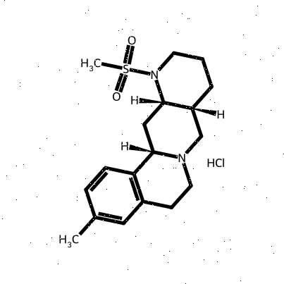 Cc1ccc2c(c1)CCN1C[C@H]3CCCN(S(C)(=O)=O)[C@H]3C[C@@H]21.Cl